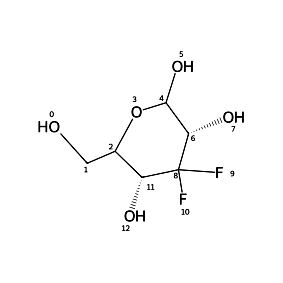 OCC1OC(O)[C@H](O)C(F)(F)[C@@H]1O